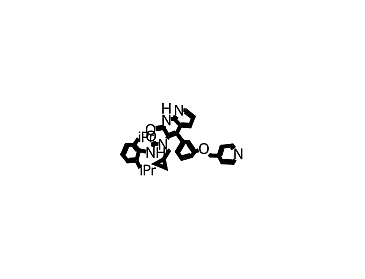 CC(C)c1cccc(C(C)C)c1NC(=O)N(CC1CC1)c1c(-c2cccc(OCc3ccncc3)c2)c2cccnc2[nH]c1=O